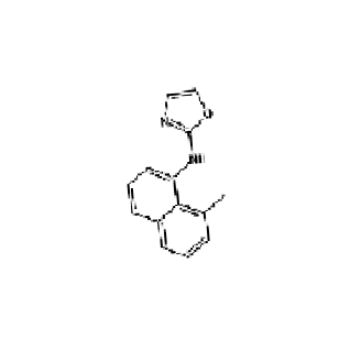 Cc1cccc2cccc(Nc3ncco3)c12